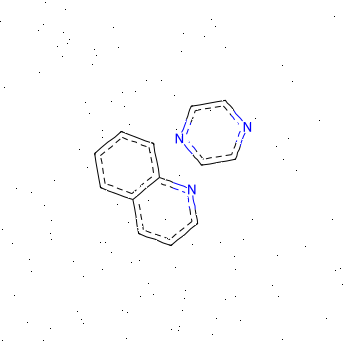 c1ccc2ncccc2c1.c1cnccn1